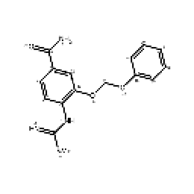 CSC(=N)Nc1ccc(C(N)=O)cc1OCOc1ccccc1